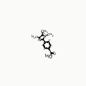 Cc1nc(-c2ccc(C(=O)O)cc2)n(C)c1C